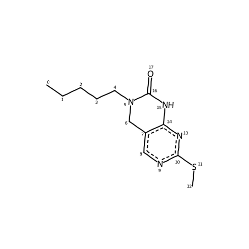 CCCCCN1Cc2cnc(SC)nc2NC1=O